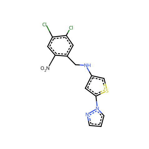 O=[N+]([O-])c1cc(Cl)c(Cl)cc1CNc1csc(-n2cccn2)c1